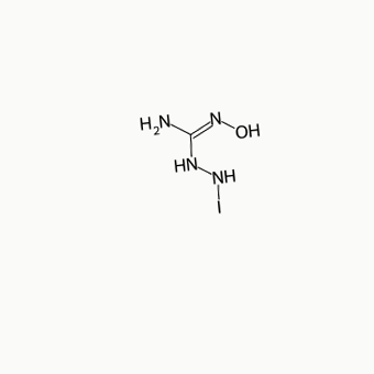 NC(=NO)NNI